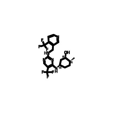 C[C@@H]1CC[C@H](Nc2nc(NCc3cnccc3C(F)(F)F)ncc2C(F)(F)F)C[C@H]1O